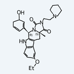 CCOc1ccc2[nH]c3c(c2c1)C[C@@]1(C)C(=O)N(CCN2CCCCC2)C(=O)N1[C@@H]3C1=CC(O)CC=C1